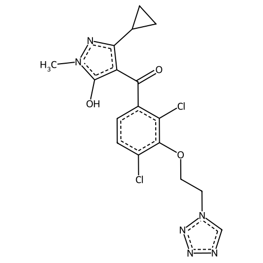 Cn1nc(C2CC2)c(C(=O)c2ccc(Cl)c(OCCn3cnnn3)c2Cl)c1O